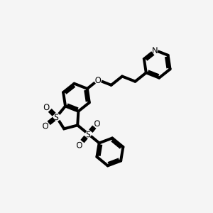 O=S1(=O)CC(S(=O)(=O)c2ccccc2)c2cc(OCCCc3cccnc3)ccc21